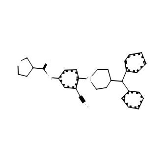 N#Cc1cc(NC(=O)C2CCOC2)ccc1N1CCC(C(c2ccccc2)c2ccccc2)CC1